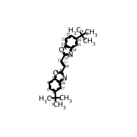 CC(C)(C)c1ccc2oc(/C=C/c3nc4cc(C(C)(C)C)ccc4o3)nc2c1